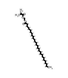 C=C(C)C(=O)OCCOC(=O)CCCCCCCCCCCCCCCCCCCCCCCCCCCCC